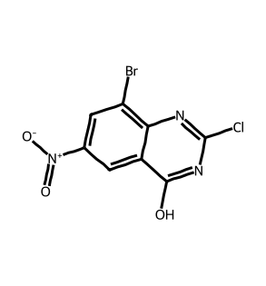 O=[N+]([O-])c1cc(Br)c2nc(Cl)nc(O)c2c1